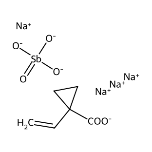 C=CC1(C(=O)[O-])CC1.[Na+].[Na+].[Na+].[Na+].[O]=[Sb]([O-])([O-])[O-]